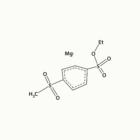 CCOS(=O)(=O)c1ccc(S(C)(=O)=O)cc1.[Mg]